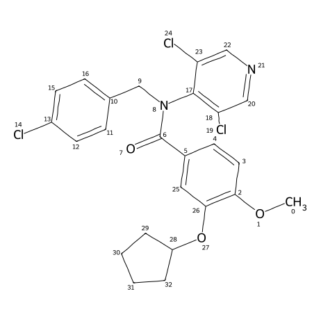 COc1ccc(C(=O)N(Cc2ccc(Cl)cc2)c2c(Cl)cncc2Cl)cc1OC1CCCC1